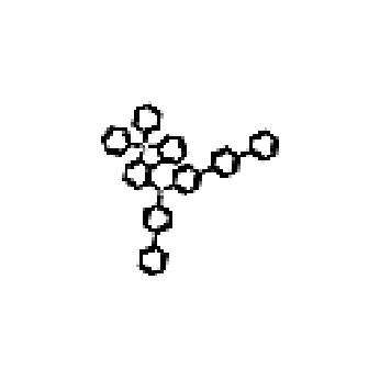 c1ccc(-c2ccc(-c3ccc(N(c4ccc(-c5ccccc5)cc4)c4cccc5c4-c4ccccc4[Si]5(c4ccccc4)c4ccccc4)cc3)cc2)cc1